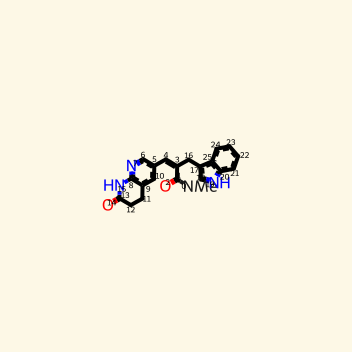 CNC(=O)C(=Cc1cnc2c(c1)CCC(=O)N2)Cc1c[nH]c2ccccc12